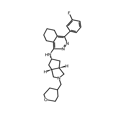 Fc1cccc(-c2nnc(N[C@H]3C[C@@H]4CN(CC5CCOCC5)C[C@@H]4C3)c3c2CCCC3)c1